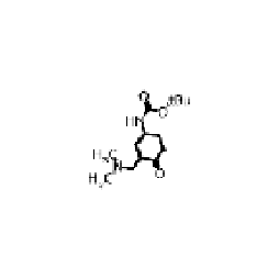 CN(C)CC1CC(NC(=O)OC(C)(C)C)CCC1=O